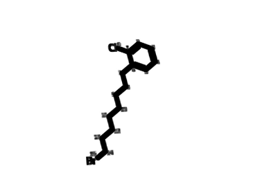 Clc1ccccc1CCCCCCCCBr